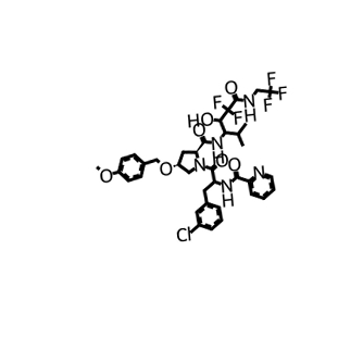 COc1ccc(CO[C@@H]2C[C@@H](C(=O)NC(C(C)C)C(O)C(F)(F)C(=O)NCC(F)(F)F)N(C(=O)C(Cc3cccc(Cl)c3)NC(=O)c3ccccn3)C2)cc1